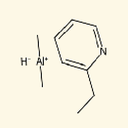 CCc1ccccn1.[CH3][Al+][CH3].[H-]